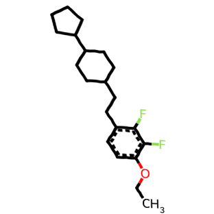 CCOc1ccc(CCC2CCC(C3CCCC3)CC2)c(F)c1F